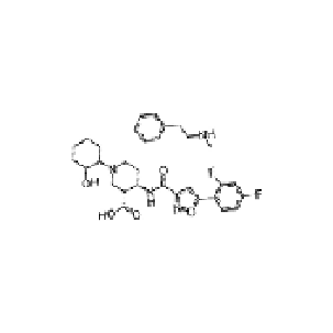 CNCCc1ccccc1.O=C(N[C@@H]1CCN(C2CCCCC2O)C[C@H]1C(=O)O)c1cc(-c2ccc(F)cc2F)on1